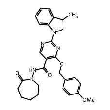 COc1ccc(COc2nc(N3CC(C)c4ccccc43)ncc2C(=O)NN2CCCCCC2=O)cc1